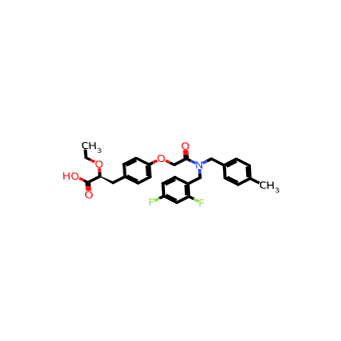 CCO[C@@H](Cc1ccc(OCC(=O)N(Cc2ccc(C)cc2)Cc2ccc(F)cc2F)cc1)C(=O)O